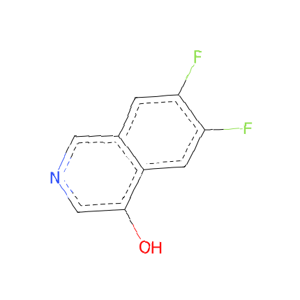 Oc1cncc2cc(F)c(F)cc12